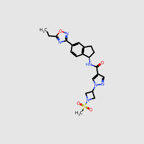 CCc1nc(-c2ccc3c(c2)CC[C@H]3NC(=O)c2cnn(C3CN(S(C)(=O)=O)C3)c2)no1